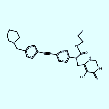 O=C1NCNC(C[C@H](C(=O)NCCF)c2ccc(C#Cc3ccc(CN4CCOCC4)cc3)cc2)=C1O